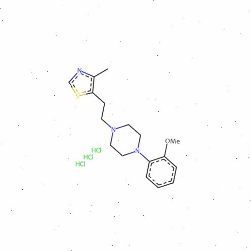 COc1ccccc1N1CCN(CCc2scnc2C)CC1.Cl.Cl.Cl